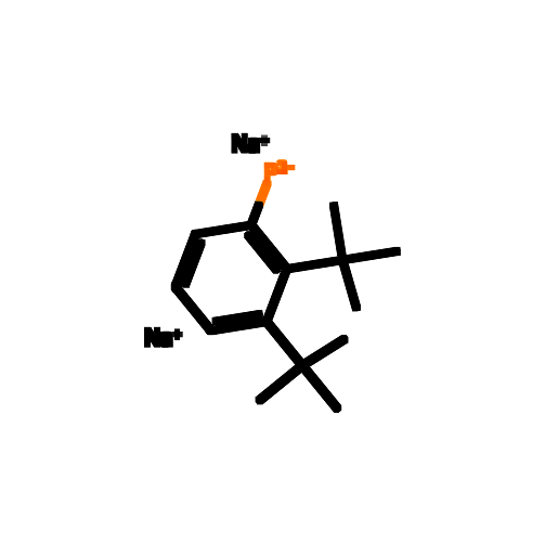 CC(C)(C)c1cccc([P-2])c1C(C)(C)C.[Na+].[Na+]